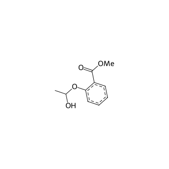 COC(=O)c1ccccc1OC(C)O